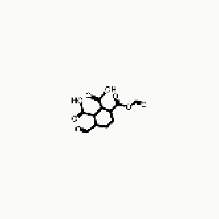 O=COC(=O)C1CCC(C=O)C(C(=O)O)C1C(=O)O